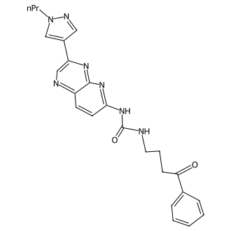 CCCn1cc(-c2cnc3ccc(NC(=O)NCCCC(=O)c4ccccc4)nc3n2)cn1